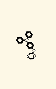 c1ccc([S+](c2ccccc2)c2ccc(OC3CSCCO3)cc2)cc1